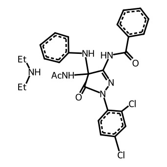 CC(=O)NC1(Nc2ccccc2)C(=O)N(c2ccc(Cl)cc2Cl)N=C1NC(=O)c1ccccc1.CCNCC